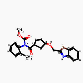 COC(=O)N(C(=O)C1CCC(OCc2nc3ccccc3s2)C1)c1ccccc1C